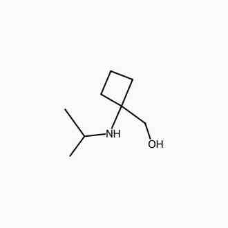 CC(C)NC1(CO)CCC1